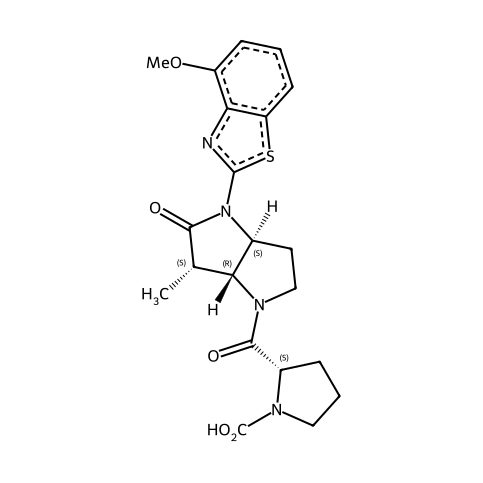 COc1cccc2sc(N3C(=O)[C@@H](C)[C@@H]4[C@@H]3CCN4C(=O)[C@@H]3CCCN3C(=O)O)nc12